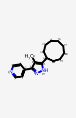 Cc1c(-c2ccncc2)n[nH]c1C1CCCCCCCC1